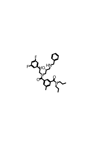 CCCN(CCC)C(=O)c1cc(C)cc(C(=O)N(CCc2cc(F)cc(F)c2)C[C@H](O)CNCc2ccccc2)c1